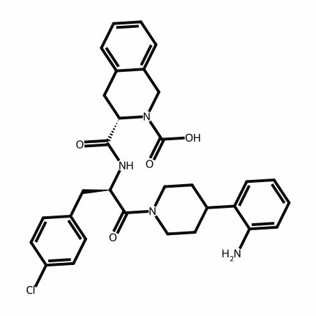 Nc1ccccc1C1CCN(C(=O)[C@@H](Cc2ccc(Cl)cc2)NC(=O)[C@@H]2Cc3ccccc3CN2C(=O)O)CC1